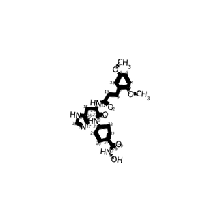 COc1ccc(OC)c(/C=C/C(=O)NC(Cc2cnc[nH]2)C(=O)Nc2ccc(C(=O)NO)cc2)c1